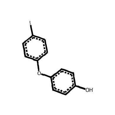 Oc1ccc(Oc2ccc(I)cc2)cc1